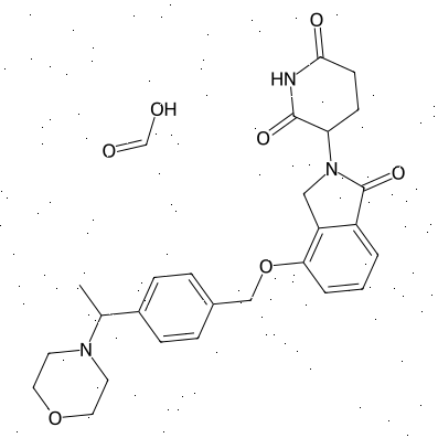 CC(c1ccc(COc2cccc3c2CN(C2CCC(=O)NC2=O)C3=O)cc1)N1CCOCC1.O=CO